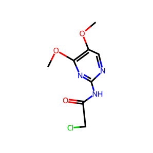 COc1cnc(NC(=O)CCl)nc1OC